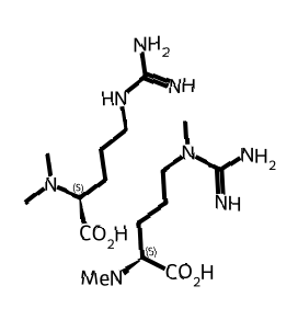 CN(C)[C@@H](CCCNC(=N)N)C(=O)O.CN[C@@H](CCCN(C)C(=N)N)C(=O)O